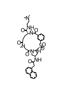 CN(C)CCNC(=O)[C@@H]1CCC(=O)N(C)CC(=O)N2C[C@H](NC(=O)Cc3cccc4ccccc34)C[C@H]2CS(=O)(=O)c2cccc(c2)C(=O)N1C